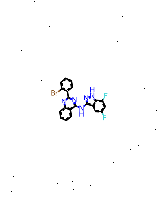 Fc1cc(F)c2[nH]nc(Nc3nc(-c4ccccc4Br)nc4ccccc34)c2c1